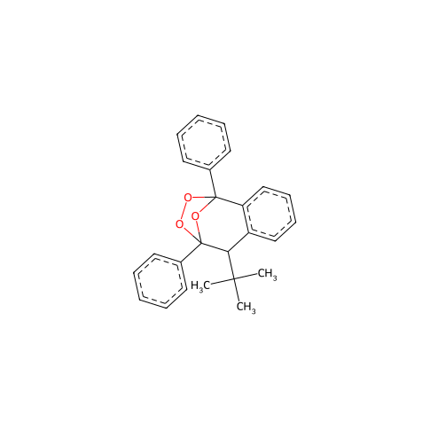 CC(C)(C)C1c2ccccc2C2(c3ccccc3)OOC1(c1ccccc1)O2